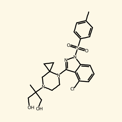 Cc1ccc(S(=O)(=O)n2nc(N3CCN(C(C)(CO)CO)CC34CC4)c3c(Cl)cccc32)cc1